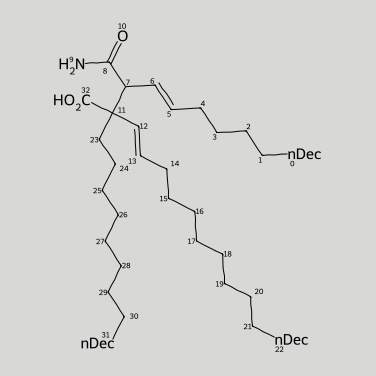 CCCCCCCCCCCCCCC=CC(C(N)=O)C(C=CCCCCCCCCCCCCCCCCCC)(CCCCCCCCCCCCCCCCCC)C(=O)O